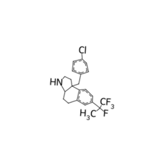 CC(F)(c1ccc2c(c1)CCC1NCCC21Cc1ccc(Cl)cc1)C(F)(F)F